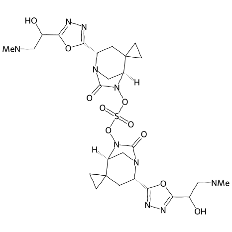 CNCC(O)c1nnc([C@@H]2CC3(CC3)[C@@H]3CN2C(=O)N3OS(=O)(=O)ON2C(=O)N3C[C@H]2C2(CC2)C[C@H]3c2nnc(C(O)CNC)o2)o1